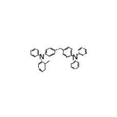 CC1CC=CC=C1N(c1ccccc1)c1ccc(Cc2ccc(N(c3ccccc3)c3ccccc3)cc2)cc1